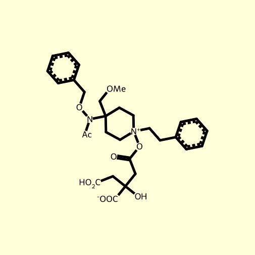 COCC1(N(OCc2ccccc2)C(C)=O)CC[N+](CCc2ccccc2)(OC(=O)CC(O)(CC(=O)O)C(=O)[O-])CC1